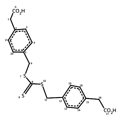 O=C(O)Cc1ccc(CSC(=S)SCc2ccc(CC(=O)O)cc2)cc1